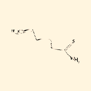 C=CCCCC(N)=S